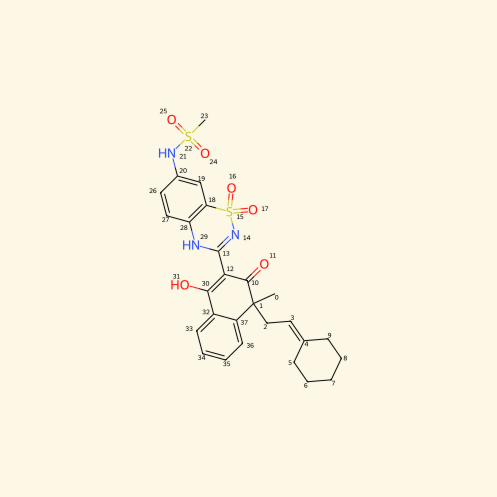 CC1(CC=C2CCCCC2)C(=O)C(C2=NS(=O)(=O)c3cc(NS(C)(=O)=O)ccc3N2)=C(O)c2ccccc21